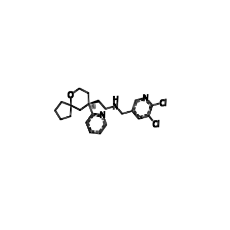 Clc1cc(CNCC[C@]2(c3ccccn3)CCOC3(CCCC3)C2)cnc1Cl